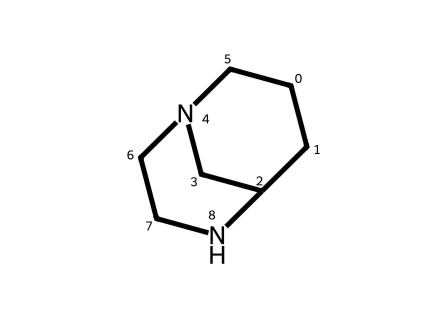 C1CC2CN(C1)CCN2